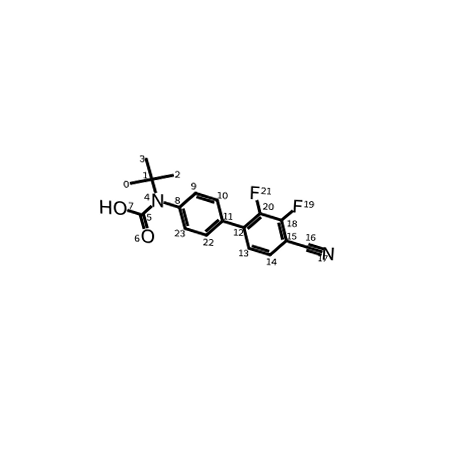 CC(C)(C)N(C(=O)O)c1ccc(-c2ccc(C#N)c(F)c2F)cc1